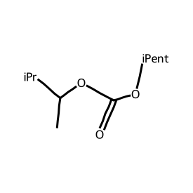 CCCC(C)OC(=O)OC(C)C(C)C